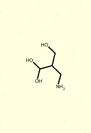 NCC(CO)C(O)O